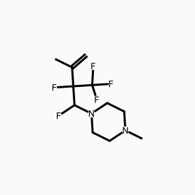 C=C(C)C(F)(C(F)N1CCN(C)CC1)C(F)(F)F